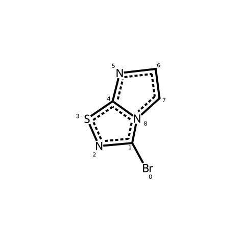 Brc1nsc2nccn12